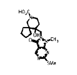 CSc1ncc2c(=O)n(CC3(O)CCN(C(=O)O)CC34CCCC4)n(C)c2n1